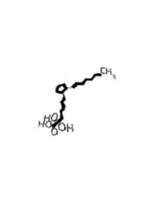 CCCCCCC=C[C@H]1CCC[C@@H]1C/C=C/CCC(O)(O)C(=O)O